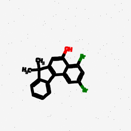 CC1(C)c2ccccc2-c2c1cc(O)c1c(Br)cc(Br)cc21